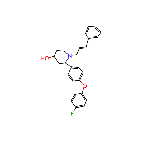 OC1CCN(CC=Cc2ccccc2)C(c2ccc(Oc3ccc(F)cc3)cc2)C1